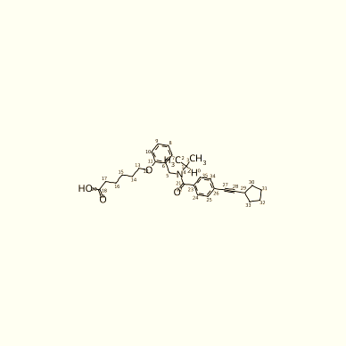 [2H]C(C)(C)N(Cc1ccccc1OCCCCCC(=O)O)C(=O)c1ccc(C#CC2CCCC2)cc1